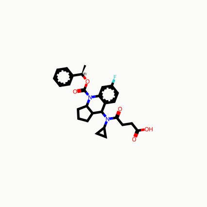 C[C@@H](OC(=O)N1c2cc(F)ccc2C(N(C(=O)CCC(=O)O)C2CC2)C2CCCC21)c1ccccc1